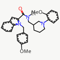 CCN(CC1CCCN(c2ccccc2OC)C1)C(=O)c1cc2ccccc2n1Cc1ccc(OC)cc1